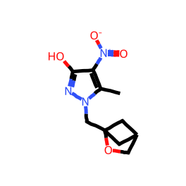 Cc1c([N+](=O)[O-])c(O)nn1CC12CC(CO1)C2